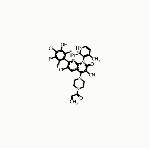 C=CC(=O)N1CCN(c2c(C#N)c(=O)n(C3=C(C)C=CN[C@@H]3C(C)C)c3nc(-c4c(F)c(O)c(Cl)c(F)c4F)c(Cl)cc23)CC1